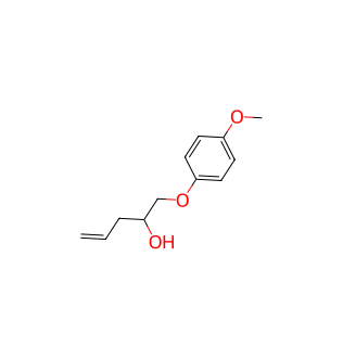 C=CCC(O)COc1ccc(OC)cc1